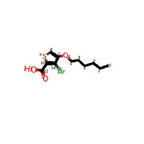 CCCCCCOc1csc(C(=O)O)c1Br